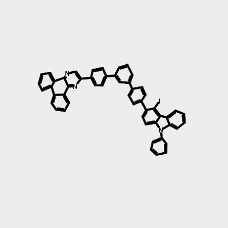 Ic1c(-c2ccc(-c3cccc(-c4ccc(-c5cnc6c7ccccc7c7ccccc7c6n5)cc4)c3)cc2)ccc2c1c1ccccc1n2-c1ccccc1